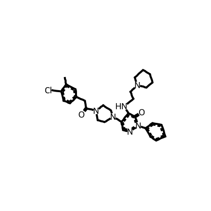 Cc1cc(CC(=O)N2CCN(c3cnn(-c4ccccc4)c(=O)c3NCCN3CCCCC3)CC2)ccc1Cl